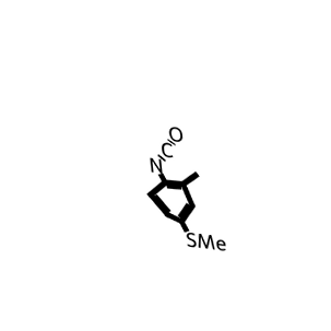 CSc1ccc(N=C=O)c(C)c1